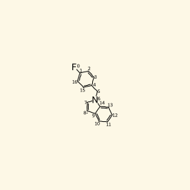 Fc1ccc(Cn2c[c]c3ccccc32)cc1